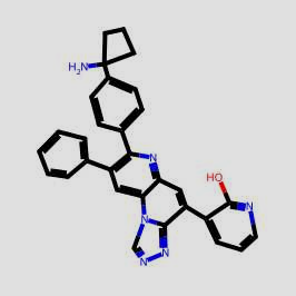 NC1(c2ccc(-c3nc4cc(-c5cccnc5O)c5nncn5c4cc3-c3ccccc3)cc2)CCC1